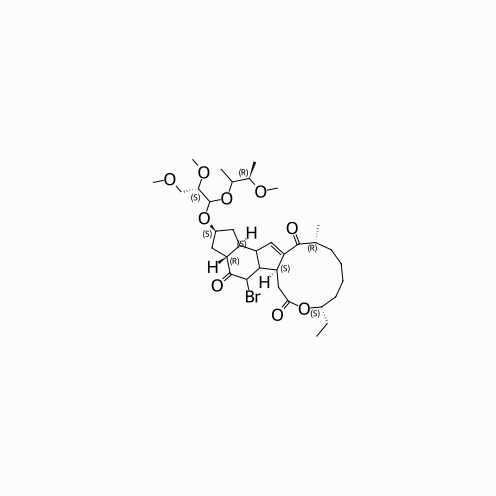 CC[C@H]1CCCC[C@@H](C)C(=O)C2=CC3C(C(Br)C(=O)[C@@H]4C[C@@H](OC(OC(C)[C@@H](C)OC)[C@H](COC)OC)C[C@@H]34)[C@@H]2CC(=O)O1